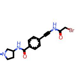 CN1CCC(NC(=O)c2ccc(C#CNC(=O)CBr)cc2)C1